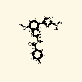 COc1ccc(-c2csc(N(C)C)n2)c2sc(NC(=O)c3ccc(F)cc3)nc12